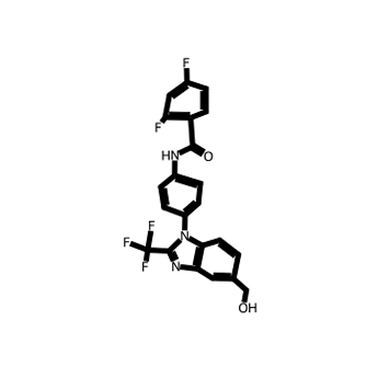 O=C(Nc1ccc(-n2c(C(F)(F)F)nc3cc(CO)ccc32)cc1)c1ccc(F)cc1F